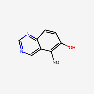 O=Nc1c(O)ccc2ncncc12